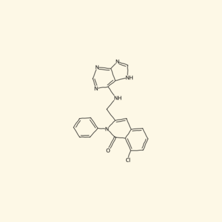 O=c1c2c(Cl)cccc2cc(CNc2ncnc3nc[nH]c23)n1-c1ccccc1